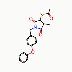 CC(=O)SC1C(=O)N(Cc2ccc(Oc3ccccc3)cc2)C(=O)C1C